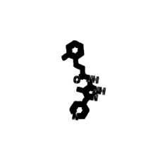 Cc1ccccc1CCC(=O)Nc1[nH]nc(-c2ccncc2)c1C